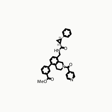 COC(=O)c1cccc(-c2ccc(CNC(=O)[C@H]3C[C@@H]3c3ccccc3)c3c2CCN(C(=O)c2ccncc2)C3)c1